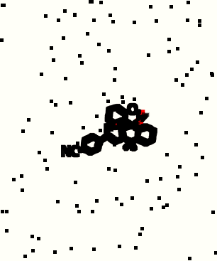 CC1(C)c2ccccc2C2(c3ccccc3Oc3ccccc32)c2ccc(-c3ccc(C#N)cc3)cc21